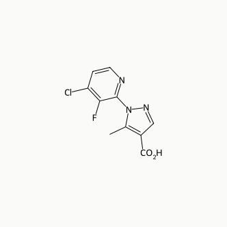 Cc1c(C(=O)O)cnn1-c1nccc(Cl)c1F